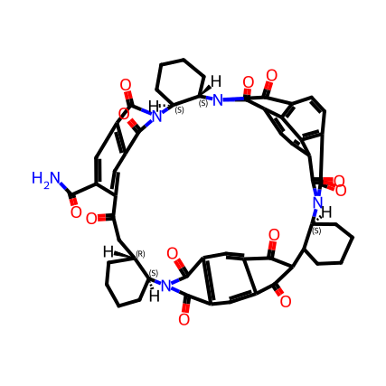 NC(=O)c1cc2c3cc1C(=O)C[C@H]1CCCC[C@@H]1N1C(=O)c4cc5c(cc4C1=O)C(=O)C(C5=O)C1CCCC[C@@H]1N1C(=O)c4ccc5c6c(ccc(c46)C1=O)C(=O)N(C5=O)[C@H]1CCCC[C@@H]1N(C2=O)C3=O